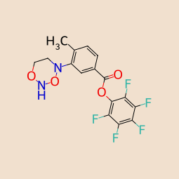 Cc1ccc(C(=O)Oc2c(F)c(F)c(F)c(F)c2F)cc1N1CCONO1